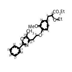 CCOC(=O)C(Cc1ccc(OCCc2nc(-c3ccccc3)oc2C)c(OC)c1)OCC